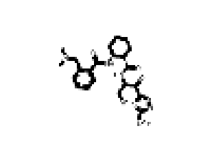 CSc1nnc(C(=O)C(CC(C)C)NC(=O)[C@@H]2CCCC[C@@H]2NC(=O)c2ccccc2CN(C)C)o1